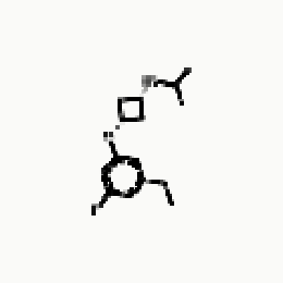 CCc1cc(F)cc(O[C@H]2C[C@@H](NC(C)C)C2)c1